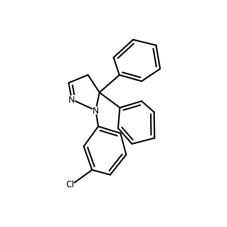 Clc1cccc(N2N=CCC2(c2ccccc2)c2ccccc2)c1